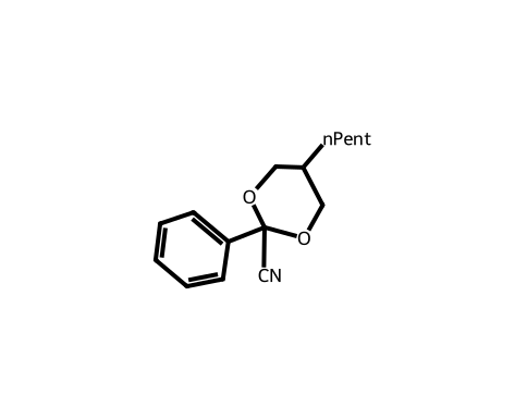 CCCCCC1COC(C#N)(c2ccccc2)OC1